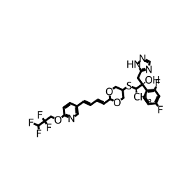 C[C@@H](SC1COC(C=CC=Cc2ccc(OCC(F)(F)C(F)F)nc2)OC1)[C@@](O)(Cc1ncn[nH]1)c1ccc(F)cc1F